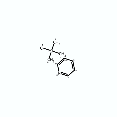 C[Si](C)(C)Cl.c1ccncc1